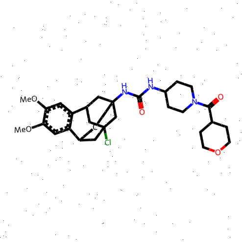 COc1cc2c(cc1OC)C1CC3(Cl)CC2CC(NC(=O)NC2CCN(C(=O)C4CCOCC4)CC2)(C1)C3